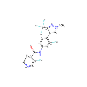 Cn1cc(-c2ccc(NC(=O)c3ccncc3F)cc2F)c(C(F)(F)F)n1